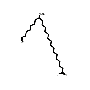 C=CCCCCCCC(CCCCCCCCC)CCCCCCCCCCCCCCCC(=C)C